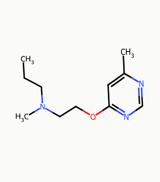 CCCN(C)CCOc1cc(C)ncn1